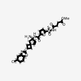 COC(=O)CCC(=O)NS(=O)(=S)c1ccc(C(=O)N[C@@]2(N)C#C[C@]3(C2)C[C@@H](c2nc4cc(Cl)ccc4o2)C3)o1